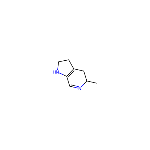 CC1CC2=C(C=N1)NCC2